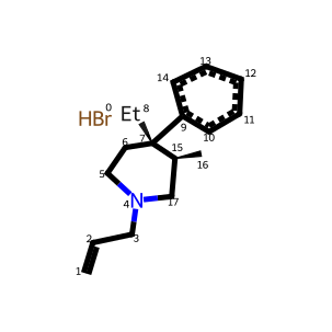 Br.C=CCN1CC[C@](CC)(c2ccccc2)[C@@H](C)C1